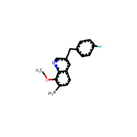 Bc1ccc2cc(Cc3ccc(F)cc3)cnc2c1OC